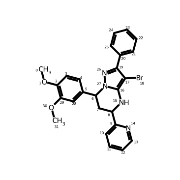 COc1ccc(C2CC(c3ccccn3)Nc3c(Br)c(-c4ccccc4)nn32)cc1OC